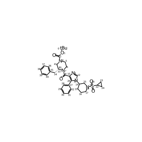 CC(C)(C)OC(=O)N1CCN(C(=O)c2ncn(C3CCCN(S(=O)(=O)C4CC4)C3)c2-c2ccccc2)[C@H](Cc2ccccc2)C1